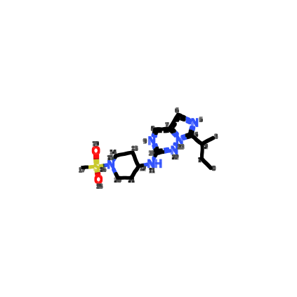 CCC(C)c1ncc2cnc(NC3CCN(S(C)(=O)=O)CC3)nn12